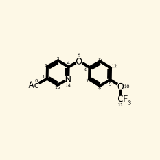 CC(=O)c1ccc(Oc2ccc(OC(F)(F)F)cc2)nc1